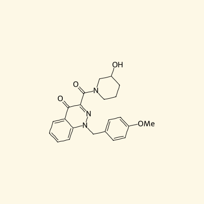 COc1ccc(Cn2nc(C(=O)N3CCCC(O)C3)c(=O)c3ccccc32)cc1